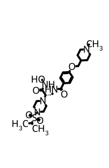 CC(C)S(=O)(=O)N1CCN([C@@H](CNC(=O)c2ccc(OCC3CCN(C)CC3)cc2)C(=O)NO)CC1